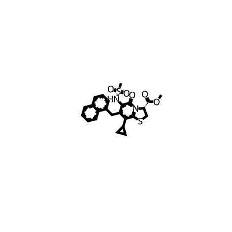 COC(=O)[C@@H]1CSc2c(C3CC3)c(Cc3cccc4ccccc34)c(NS(C)(=O)=O)c(=O)n21